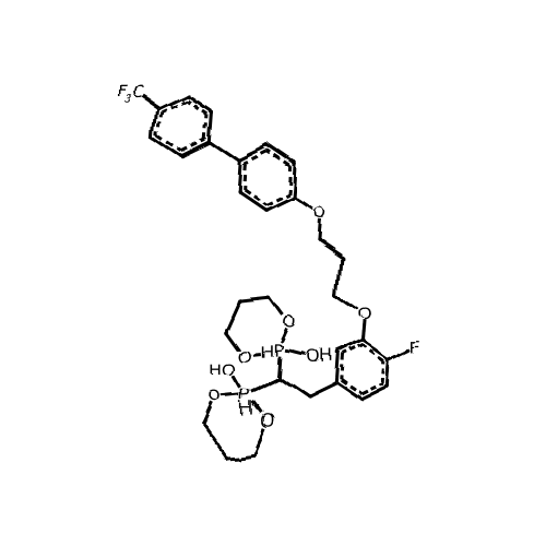 O[PH]1(C(Cc2ccc(F)c(OCCCOc3ccc(-c4ccc(C(F)(F)F)cc4)cc3)c2)[PH]2(O)OCCCO2)OCCCO1